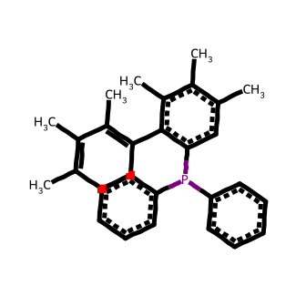 CC1=C(C)C(C)=C(c2c(P(c3ccccc3)c3ccccc3)cc(C)c(C)c2C)[CH]C1